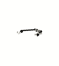 Cc1cc(Nc2nc(N3CCN(C(C)CCCCCCCCCCCCCCc4ccc(C(F)(F)F)cc4)CC3)nn3cccc23)n[nH]1